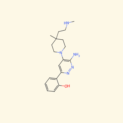 CNCCC1(C)CCN(c2cc(-c3ccccc3O)nnc2N)CC1